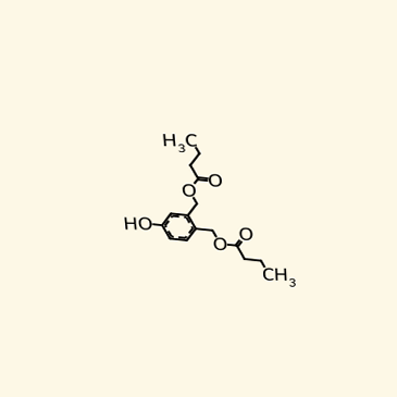 CCCC(=O)OCc1ccc(O)cc1COC(=O)CCC